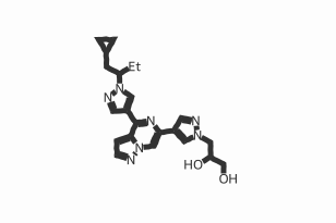 CCC(CC1CC1)n1cc(-c2nc(-c3cnn(CC(O)CO)c3)cn3nccc23)cn1